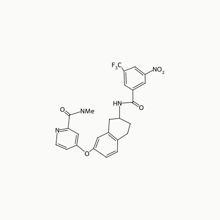 CNC(=O)c1cc(Oc2ccc3c(c2)CC(NC(=O)c2cc([N+](=O)[O-])cc(C(F)(F)F)c2)CC3)ccn1